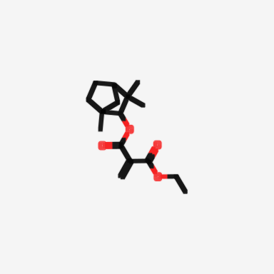 C=C(C(=O)OCC)C(=O)OC1C2(C)CCC(C2)C1(C)C